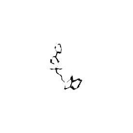 CC(C)(CCCN1C(=O)c2ccccc2C1=O)n1cnc(-c2cccnc2)c1